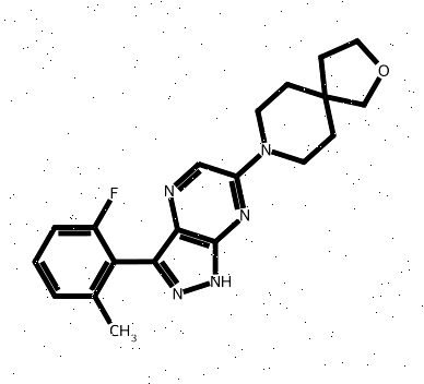 Cc1cccc(F)c1-c1n[nH]c2nc(N3CCC4(CCOC4)CC3)cnc12